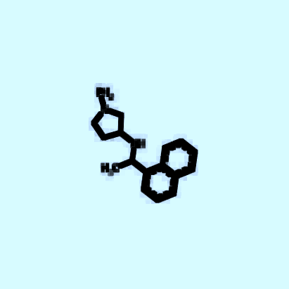 CC(NC1CCN(P)C1)c1cccc2ccccc12